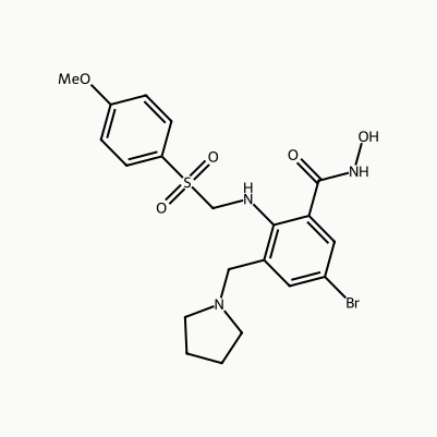 COc1ccc(S(=O)(=O)CNc2c(CN3CCCC3)cc(Br)cc2C(=O)NO)cc1